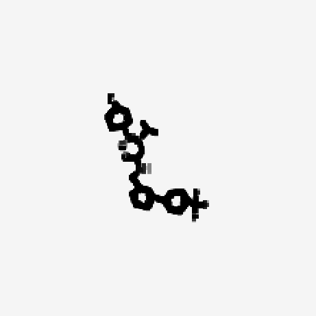 CC(C)N(CC(=O)NCc1cccc(-c2ccc(C(F)(F)F)cc2)c1)[S+]([O-])c1ccc(F)cc1